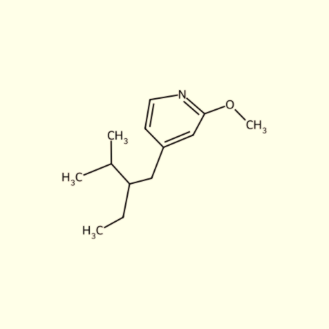 CCC(Cc1ccnc(OC)c1)C(C)C